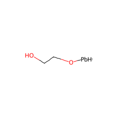 OCC[O][PbH]